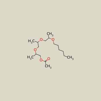 CCCCCCOC(C)COC(C)COC(C)COC(C)=O